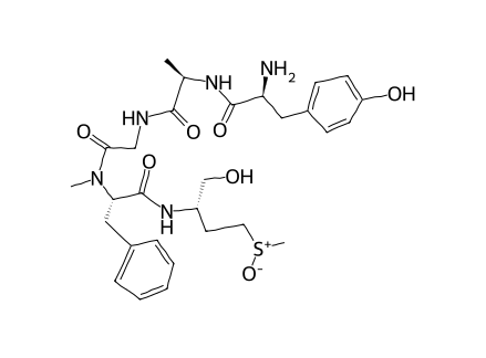 C[C@@H](NC(=O)[C@@H](N)Cc1ccc(O)cc1)C(=O)NCC(=O)N(C)[C@@H](Cc1ccccc1)C(=O)N[C@H](CO)CC[S+](C)[O-]